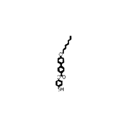 CCCCCCCCOc1ccc(-c2ccc(C(=O)Oc3ccc(S)cc3)cc2)cc1